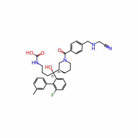 Cc1cccc(-c2c(F)cccc2[C@](O)(CCCNC(=O)O)[C@@H]2CCCN(C(=O)c3ccc(CNCC#N)cc3)C2)c1